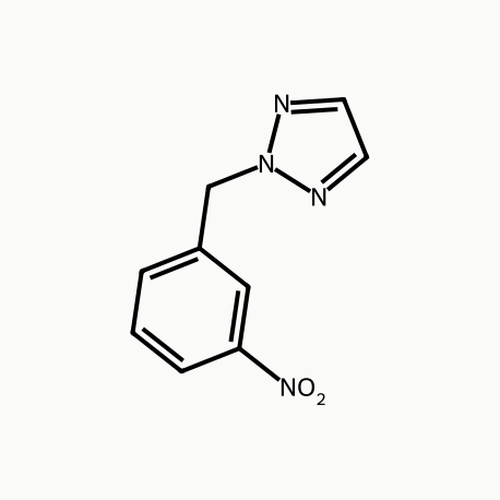 O=[N+]([O-])c1cccc(Cn2nccn2)c1